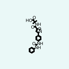 CC(C)(NC(=O)c1cc(-c2ccc(NC(=O)Nc3ccccc3)cc2)no1)C(=O)O